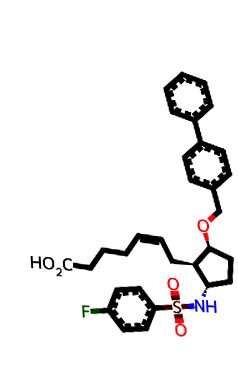 O=C(O)CCC/C=C\C[C@@H]1[C@@H](NS(=O)(=O)c2ccc(F)cc2)CC[C@@H]1OCc1ccc(-c2ccccc2)cc1